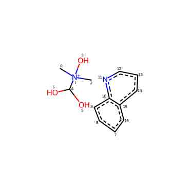 C[N+](C)(O)C(O)O.c1ccc2ncccc2c1